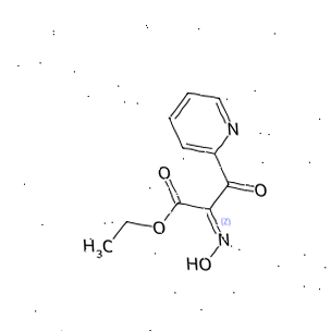 CCOC(=O)/C(=N\O)C(=O)c1ccccn1